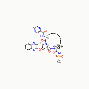 Cc1cnc(C(=O)N[C@H]2CCCCCC=C[C@@H]3C[C@@]3(C(=O)NS(=O)(=O)C3CC3)NC(=O)[C@@H]3C[C@@H](Oc4nc5ccccc5nc4C(F)(F)F)CN3C2=O)cn1